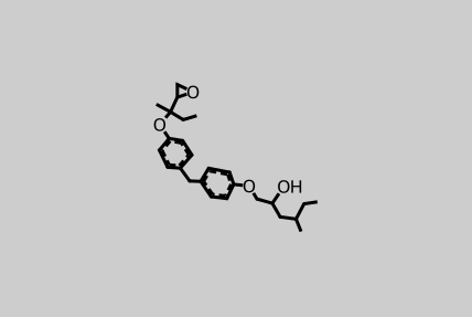 CCC(C)CC(O)COc1ccc(Cc2ccc(OC(C)(CC)C3CO3)cc2)cc1